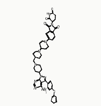 Nc1ncnc2c1c(-c1ccc(OC3=CCCC=C3)cc1)nn2C1CCN(CC2CCN(C3CCN(c4ccc5c(c4)C(=O)N(C4CCC(=O)NC4=O)C5=O)CC3)CC2)CC1